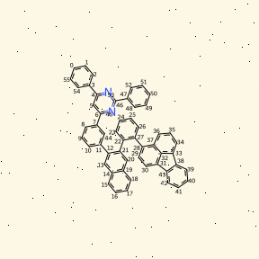 c1ccc(-c2cc(-c3cccc(-c4cc5ccccc5cc4-c4ccccc4-c4ccc5c6c(cccc46)-c4ccccc4-5)c3)nc(-c3ccccc3)n2)cc1